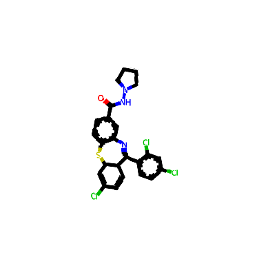 O=C(NN1CCCC1)c1ccc2c(c1)N=C(c1ccc(Cl)cc1Cl)C1C=CC(Cl)=CC1S2